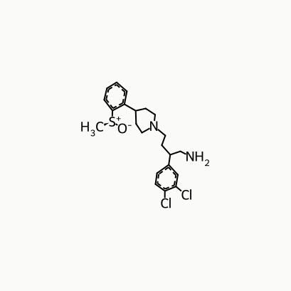 C[S@+]([O-])c1ccccc1C1CCN(CCC(CN)c2ccc(Cl)c(Cl)c2)CC1